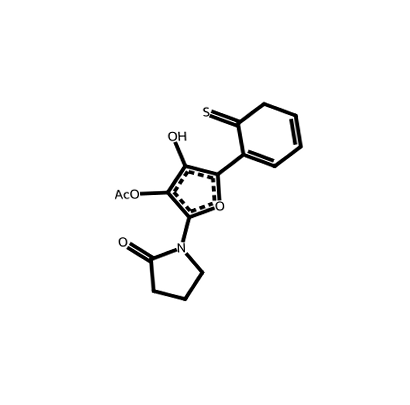 CC(=O)Oc1c(N2CCCC2=O)oc(C2=CC=CCC2=S)c1O